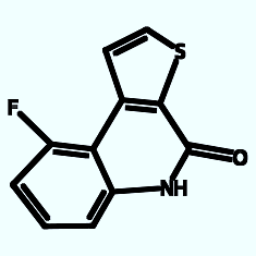 O=c1[nH]c2cccc(F)c2c2ccsc12